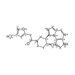 Cc1cc(CC(=O)N2CC[C@H](C)[C@H](c3ncc4cnc5[nH]ccc5n34)C2)on1